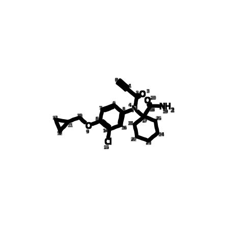 C#CC(=O)N(c1ccc(OCC2CC2)c(Cl)c1)C1(C(N)=O)CCCCC1